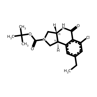 CCc1cc(Cl)c2c(c1)[C@H]1CN(C(=O)OC(C)(C)C)C[C@@H]1NC2=O